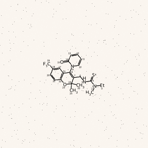 CCN(C)C(=S)NCC1=C(n2ccccc2=O)c2cc(C(F)(F)F)ccc2OC1(C)C